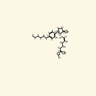 CCCCCCc1ccc(N2CCC(=O)[C@@H]2C/C=C\CCCC(=O)OC)cc1